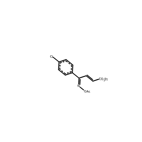 CCOC(=O)/C=C/C(=N\OC(C)=O)c1ccc(Cl)cc1